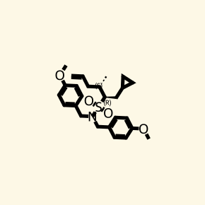 C=CC[C@H](C)[C@@H](CC1CC1)S(=O)(=O)N(Cc1ccc(OC)cc1)Cc1ccc(OC)cc1